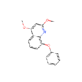 COc1cc(OC)c2cccc(Oc3ccccc3)c2n1